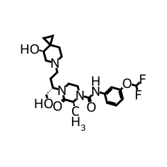 C[C@H]1C(=O)N([C@H](CO)CCN2CCC3(CC3)[C@H](O)C2)CCN1C(=O)Nc1cccc(OC(F)F)c1